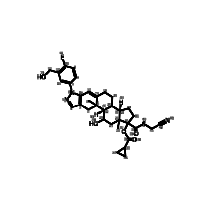 CC12Cc3cnn(-c4ccc(F)c(CO)c4)c3C=C1CCC1[C@@H]2C(O)CC2(C)[C@H]1CCC2(OC(=O)C1CC1)C(=O)SCC#N